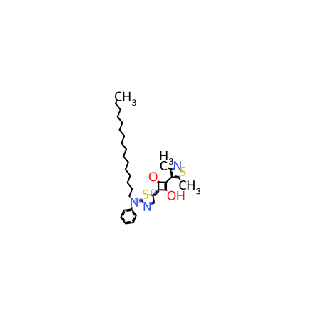 CCCCCCCCCCCCCCCC/[N+](=C1N=C/C(=C2/C(=O)C(c3c(C)nsc3C)=C2O)S/1)c1ccccc1